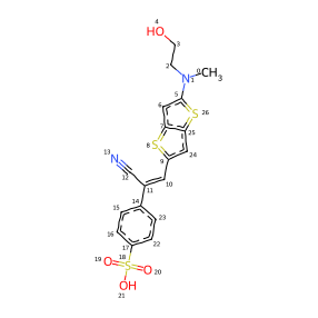 CN(CCO)c1cc2sc(/C=C(\C#N)c3ccc(S(=O)(=O)O)cc3)cc2s1